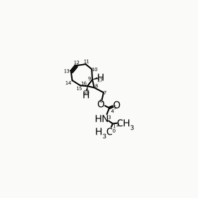 CC(C)NC(=O)OCC1[C@H]2CCC#CCC[C@@H]12